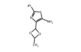 CC1OC(c2nc(C(C)C)sc2N)O1